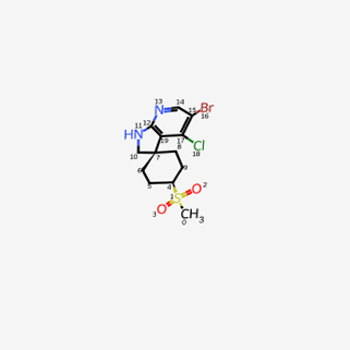 CS(=O)(=O)[C@H]1CC[C@@]2(CC1)CNc1ncc(Br)c(Cl)c12